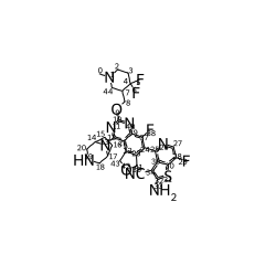 CN1CCC(F)(F)C(COc2nc(N3C4CCC3CNC4)c3c4c(c(-c5ncc(F)c6sc(N)c(C#N)c56)c(F)c3n2)COC4)C1